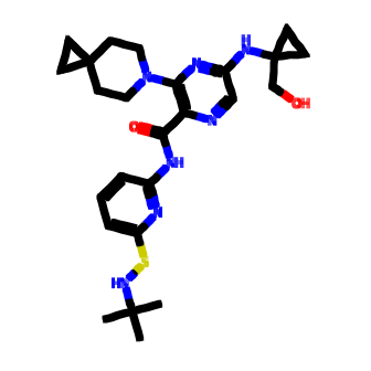 CC(C)(C)NSc1cccc(NC(=O)c2ncc(NC3(CO)CC3)nc2N2CCC3(CC2)CC3)n1